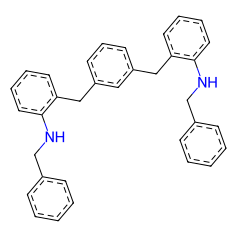 c1ccc(CNc2ccccc2Cc2cccc(Cc3ccccc3NCc3ccccc3)c2)cc1